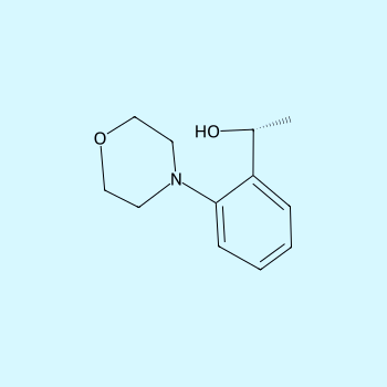 C[C@@H](O)c1ccccc1N1CCOCC1